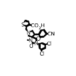 CN1C(=O)N(c2cc(Cl)cc(Cl)c2)C(=O)C12CN(Cc1sccc1C(=O)O)CC2c1ccc(C#N)cc1